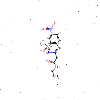 CCOC(=O)CC1=Nc2ccc([N+](=O)[O-])cc2S(C)(=O)=N1